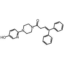 O=C(CC=C(c1ccccc1)c1ccccc1)N1CCN(c2ccc(O)cn2)CC1